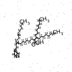 CCCCCCCCCN(CCCCCCC(C(=O)O)C(CCCCCCCC)CCCCCCCC)CCCn1ccnc1